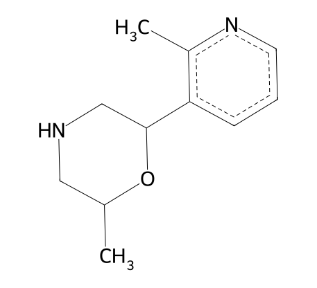 Cc1ncccc1C1CNCC(C)O1